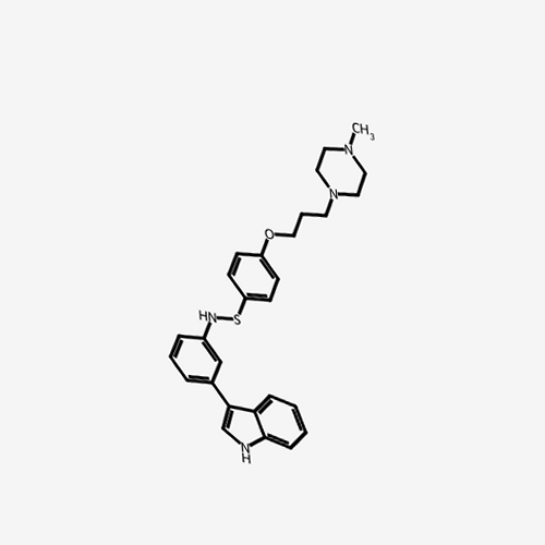 CN1CCN(CCCOc2ccc(SNc3cccc(-c4c[nH]c5ccccc45)c3)cc2)CC1